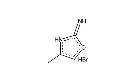 Br.Cc1coc(=N)[nH]1